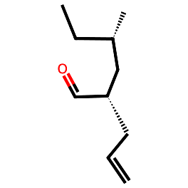 C=CC[C@H](C=O)C[C@@H](C)CC